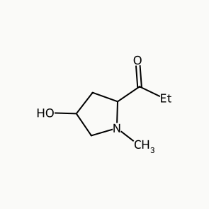 CCC(=O)C1CC(O)CN1C